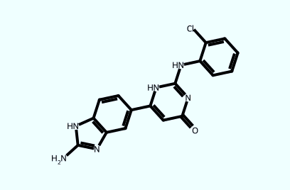 Nc1nc2cc(-c3cc(=O)nc(Nc4ccccc4Cl)[nH]3)ccc2[nH]1